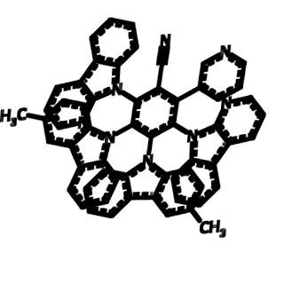 Cc1ccc2c(c1)c1ccccc1n2-c1c(-n2c3ccccc3c3cc(C)ccc32)c(-n2c3ccccc3c3cccnc32)c(-c2cccnc2)c(C#N)c1-n1c2ccccc2c2cccnc21